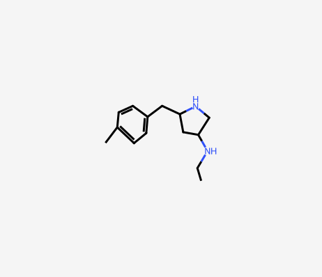 CCNC1CNC(Cc2ccc(C)cc2)C1